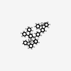 CC1(C)c2ccccc2-c2cccc(-c3cccc(N(c4ccc(-c5ccc6c(c5)C(C)(c5ccccc5)c5ccccc5-6)cc4)c4ccc(-c5ccccc5)c(-c5ccccc5)c4)c3)c21